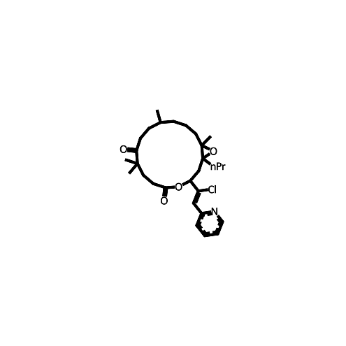 CCCC12CC(C(Cl)=Cc3ccccn3)OC(=O)CCC(C)(C)C(=O)CCC(C)CCCC1(C)O2